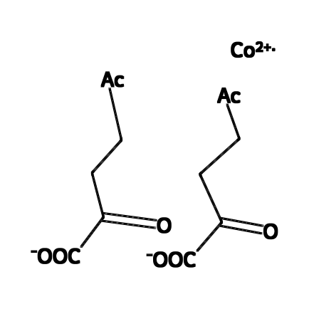 CC(=O)CCC(=O)C(=O)[O-].CC(=O)CCC(=O)C(=O)[O-].[Co+2]